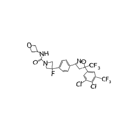 O=C(NC1COC1)N1CC(F)(c2ccc(C3=NOC(c4cc(Cl)c(Cl)c(C(F)(F)F)c4)(C(F)(F)F)C3)cc2)C1